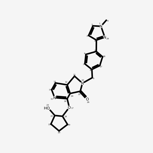 Cn1ccc(-c2ccc(CN3Cc4ccnc(OC5CCCC5O)c4C3=O)cc2)n1